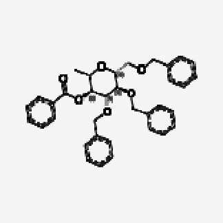 CC1O[C@H](COCc2ccccc2)[C@@H](OCc2ccccc2)[C@H](OCc2ccccc2)[C@H]1OC(=O)c1ccccc1